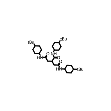 CC(C)(C)C1CCC(NC(=O)CC(CC(=O)NC2CCC(C(C)(C)C)CC2)C(=O)NC2CCC(C(C)(C)C)CC2)CC1